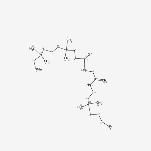 C=C(CNC(=O)CCC(C)(C)CCCC(C)(C)CNC)NCCC(C)(C)CCCC(C)C